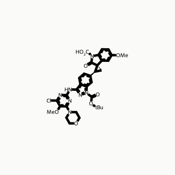 COc1ccc2c(c1)[C@]1(C[C@H]1c1ccc3c(Nc4nc(Cl)c(OC)c(N5CCOCC5)n4)nn(C(=O)OC(C)(C)C)c3c1)C(=O)N2C(=O)O